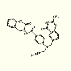 C#CCN(Cc1ccc2nc(C)[nH]c(=O)c2c1)c1ccc(C(=O)N[C@@H](Cc2ccccc2)C(=O)O)cc1